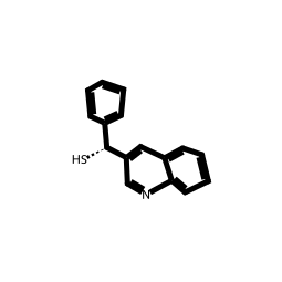 S[C@H](c1ccccc1)c1cnc2ccccc2c1